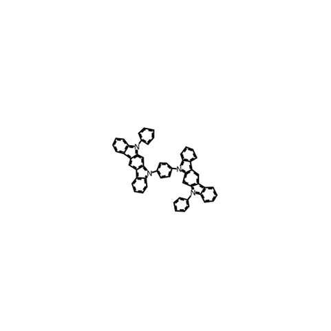 c1ccc(-n2c3ccccc3c3cc4c5ccccc5n(-c5ccc(-n6c7ccccc7c7cc8c9ccccc9n(-c9ccccc9)c8cc76)cc5)c4cc32)cc1